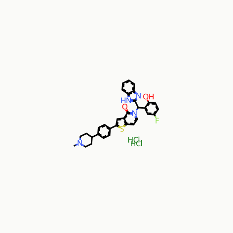 CN1CCC(c2ccc(-c3cc4c(=O)n(C(c5nc6ccccc6[nH]5)c5cc(F)ccc5O)ccc4s3)cc2)CC1.Cl.Cl